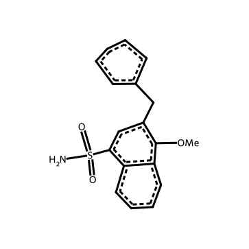 COc1c(Cc2ccccc2)cc(S(N)(=O)=O)c2ccccc12